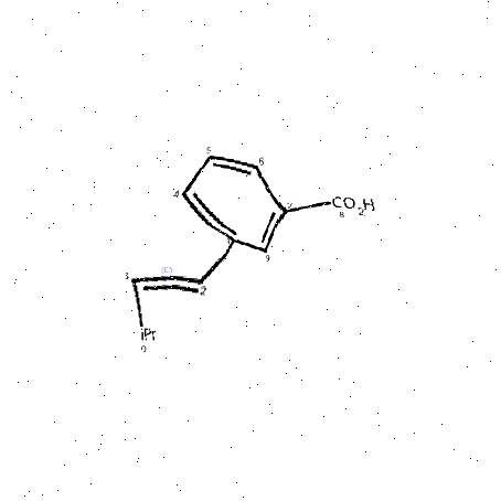 CC(C)/C=C/c1cccc(C(=O)O)c1